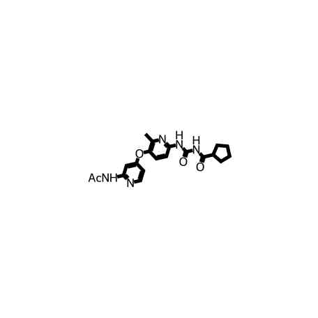 CC(=O)Nc1cc(Oc2ccc(NC(=O)NC(=O)C3CCCC3)nc2C)ccn1